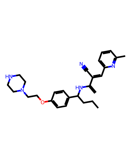 C=C(NC(CCC)c1ccc(OCCN2CCNCC2)cc1)/C(C#N)=C/c1cccc(C)n1